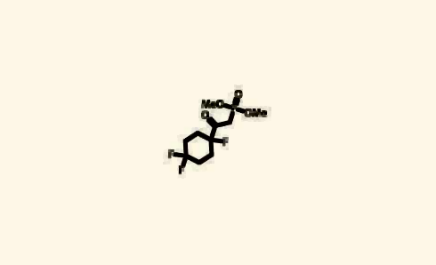 COP(=O)(CC(=O)C1(F)CCC(F)(F)CC1)OC